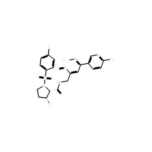 C=N/C(=C\C(=N/C)c1ccc(C(F)(F)F)nc1)CNC(=O)[C@@H]1[C@@H](F)CCN1S(=O)(=O)c1ccc(F)cc1